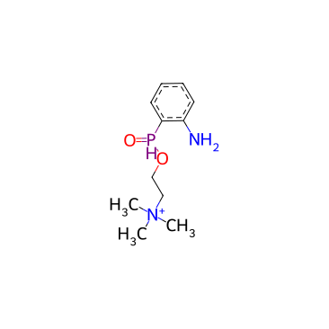 C[N+](C)(C)CCO[PH](=O)c1ccccc1N